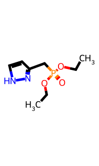 CCOP(=O)(Cc1cc[nH]n1)OCC